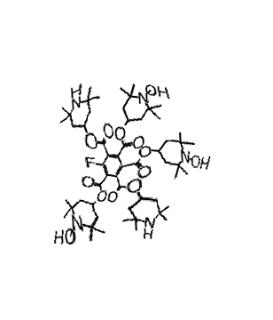 CC1(C)CC(OC(=O)c2c(F)c(C(=O)OC3CC(C)(C)N(O)C(C)(C)C3)c(C(=O)OC3CC(C)(C)NC(C)(C)C3)c(C(=O)OC3CC(C)(C)N(O)C(C)(C)C3)c2C(=O)OC2CC(C)(C)N(O)C(C)(C)C2)CC(C)(C)N1